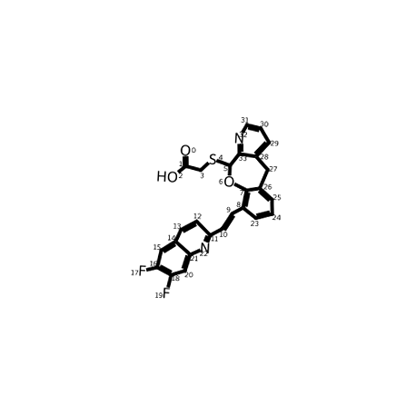 O=C(O)CSC1Oc2c(C=Cc3ccc4cc(F)c(F)cc4n3)cccc2Cc2cccnc21